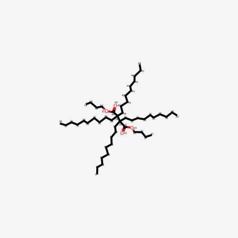 CCCCCCCCCCC(CCCCCCCCCC)(C(=O)OCCCC)C(CCCCCCCCCC)(CCCCCCCCCC)C(=O)OCCCC